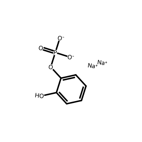 O=P([O-])([O-])Oc1ccccc1O.[Na+].[Na+]